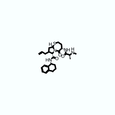 C=CCC1C[C@@H]2SCC[C@H](NC(=O)[C@H](C)NC)C(=O)N2[C@@H]1C(=O)N[C@@H]1CCCc2ccccc21